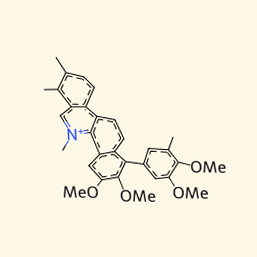 COc1cc(-c2c(OC)c(OC)cc3c2ccc2c4ccc(C)c(C)c4c[n+](C)c32)cc(C)c1OC